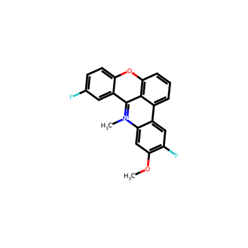 COc1cc2c(cc1F)c1cccc3c1c([n+]2C)-c1cc(F)ccc1O3